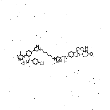 Cc1nnc2n1-c1ccc(-c3cnn(CCCCCCn4cc(CNc5ccc6c(c5)CN(C5CCC(=O)NC5=O)C6=O)nn4)c3)cc1C(c1ccc(Cl)cc1)=NC21CC1